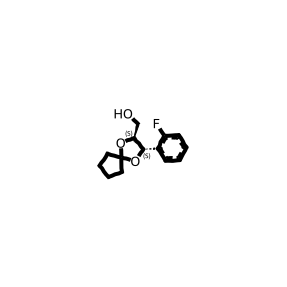 OC[C@@H]1OC2(CCCC2)O[C@H]1c1ccccc1F